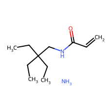 C=CC(=O)NCC(CC)(CC)CC.N